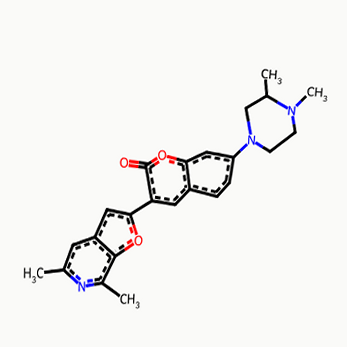 Cc1cc2cc(-c3cc4ccc(N5CCN(C)C(C)C5)cc4oc3=O)oc2c(C)n1